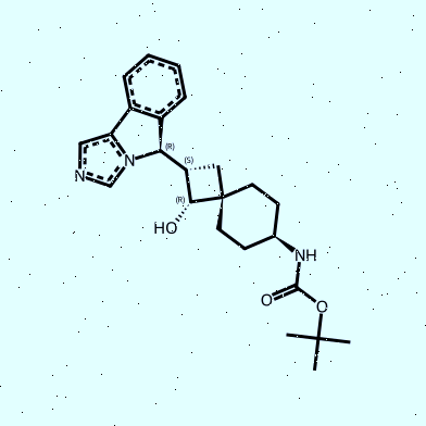 CC(C)(C)OC(=O)N[C@H]1CC[C@]2(CC1)C[C@@H]([C@@H]1c3ccccc3-c3cncn31)[C@H]2O